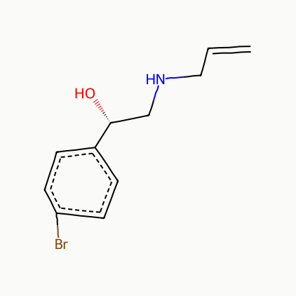 C=CCNC[C@@H](O)c1ccc(Br)cc1